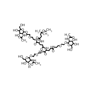 CCOC(C)(C)CCC(=O)NC(CCC(=O)NC(CCC(=O)NCCOCCOC1OC(CO)C(O)C(O)C1NC(C)=O)C(=O)NCCOCCOC1OC(CO)C(O)C(O)C1NC(C)=O)C(=O)NCCOCCOC1OC(CO)C(O)C(O)C1NC(C)=O